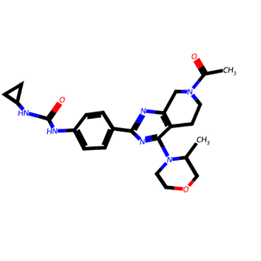 CC(=O)N1CCc2c(nc(-c3ccc(NC(=O)NC4CC4)cc3)nc2N2CCOCC2C)C1